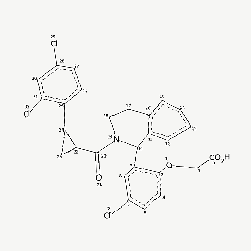 O=C(O)COc1ccc(Cl)cc1C1c2ccccc2CCN1C(=O)C1CC1c1ccc(Cl)cc1Cl